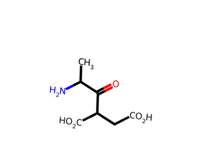 CC(N)C(=O)C(CC(=O)O)C(=O)O